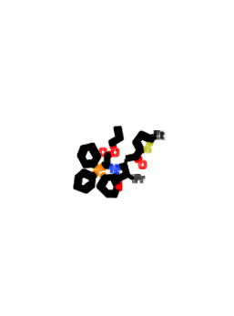 C=CCOC(=O)C(N1C(=O)[C@H](C(C)C)[C@H]1CC(=O)c1ccc(CC)s1)=P(c1ccccc1)(c1ccccc1)c1ccccc1